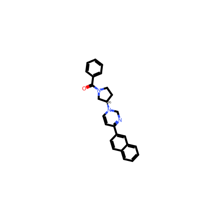 O=C(c1ccccc1)N1CC[C@@H](N2C=CC(c3ccc4ccccc4c3)=NC2)C1